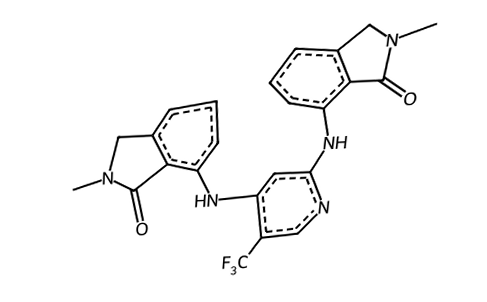 CN1Cc2cccc(Nc3cc(Nc4cccc5c4C(=O)N(C)C5)c(C(F)(F)F)cn3)c2C1=O